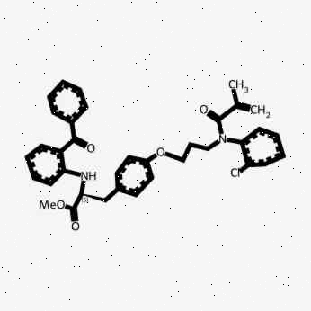 C=C(C)C(=O)N(CCCOc1ccc(C[C@H](Nc2ccccc2C(=O)c2ccccc2)C(=O)OC)cc1)c1ccccc1Cl